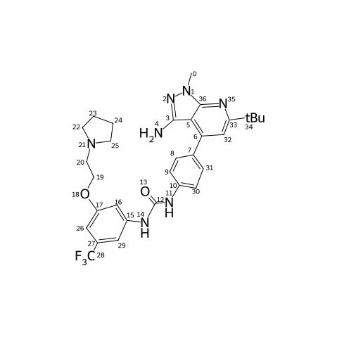 Cn1nc(N)c2c(-c3ccc(NC(=O)Nc4cc(OCCN5CCCC5)cc(C(F)(F)F)c4)cc3)cc(C(C)(C)C)nc21